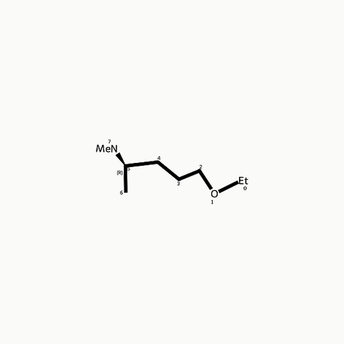 CCOCCC[C@@H](C)NC